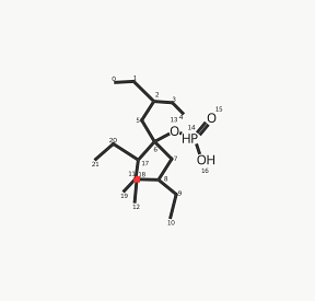 CCC(CC)CC(CC(CC)CC)(O[PH](=O)O)C(CC)CC